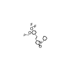 O=c1ccc(/C=C/c2ccc(OC(F)F)c(OCC3CC3)c2)cn1Cc1ccccc1